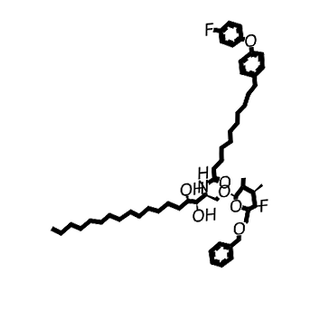 CCCCCCCCCCCCCC[C@@H](O)[C@@H](O)[C@H](CO[C@H]1OC(COCc2ccccc2)[C@@H](F)[C@H](C)C1C)NC(=O)CCCCCCCCCCc1ccc(Oc2ccc(F)cc2)cc1